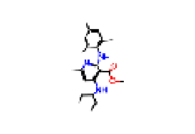 CCC(CC)Nc1cc(C)nc(Nc2c(C)cc(C)cc2C)c1C(=O)OC